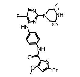 COc1cc(Br)sc1C(=O)Nc1ccc(Nc2nc(N3C[C@@H](C)N[C@@H](C)C3)ncc2F)cc1